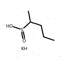 CCCC(C)S(=O)O.[KH]